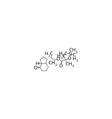 CC(COC(=O)C(C)(C)O[Si](C)(C)C)[C@H]1CC[C@H]2C(=O)CCC[C@]12C